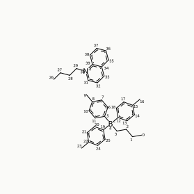 CCCC[B-](c1ccc(C)cc1)(c1ccc(C)cc1)c1ccc(C)cc1.CCCC[n+]1cccc2ccccc21